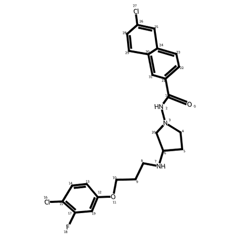 O=C(NN1CCC(NCCCOc2ccc(Cl)c(F)c2)C1)c1ccc2cc(Cl)ccc2c1